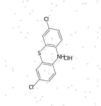 Cl.Clc1ccc2c(c1)Sc1cc(Cl)ccc1N2